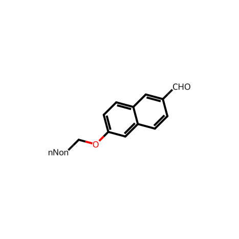 CCCCCCCCCCOc1ccc2cc(C=O)ccc2c1